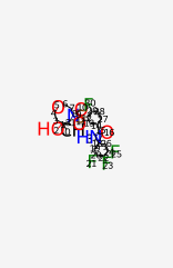 CC1(O)CCOCCN(S(=O)(=O)c2cc(C(=O)Nc3cc(F)c(F)c(F)c3)ccc2F)C1